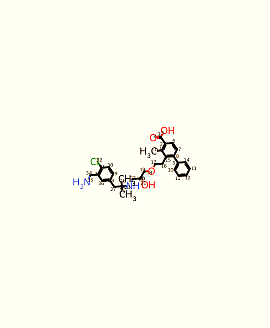 Cc1c(C(=O)O)ccc(-c2ccccc2)c1CCOC[C@H](O)CNC(C)(C)Cc1ccc(Cl)c(CN)c1